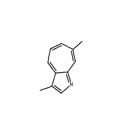 Cc1cccc2c(C)cnc-2c1